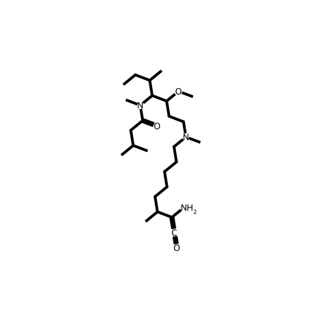 CCC(C)C(C(CCN(C)CCCCCC(C)C(N)=C=O)OC)N(C)C(=O)CC(C)C